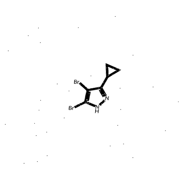 Brc1[nH]nc(C2CC2)c1Br